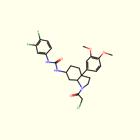 COc1ccc(C23CCC(NC(=O)Nc4ccc(F)c(F)c4)CC2N(C(=O)CCl)CC3)cc1OC